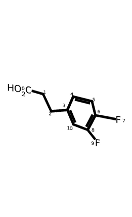 O=C(O)CCc1ccc(F)c(F)c1